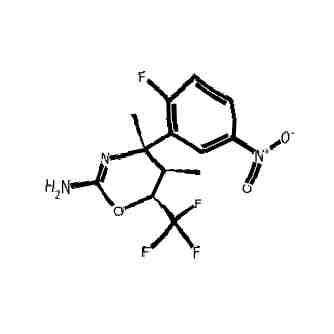 C[C@H]1[C@@H](C(F)(F)F)OC(N)=N[C@]1(C)c1cc([N+](=O)[O-])ccc1F